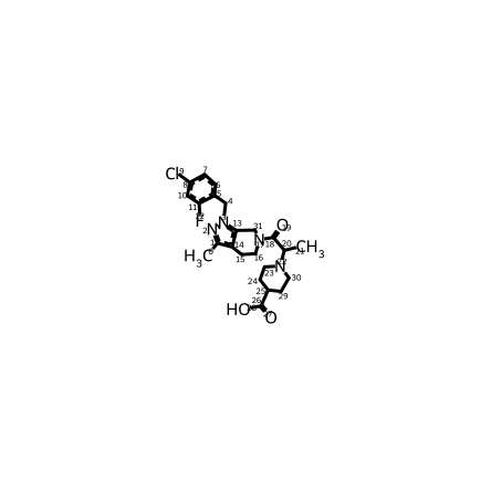 Cc1nn(Cc2ccc(Cl)cc2F)c2c1CCN(C(=O)C(C)N1CCC(C(=O)O)CC1)C2